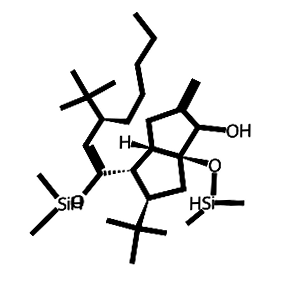 C=C1C[C@H]2[C@@H](/C(=C\[C@H](CCCCC)C(C)(C)C)O[SiH](C)C)[C@H](C(C)(C)C)C[C@@]2(O[SiH](C)C)C1O